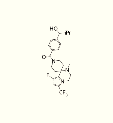 CC(C)C(O)c1ccc(C(=O)N2CCC3(CC2)c2c(F)cc(C(F)(F)F)n2CCN3C)cc1